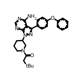 CC(C)(C)CC(=O)N1CCCC(n2nc(-c3ccc(Oc4ccccc4)cc3)c3c(N)ncnc32)C1